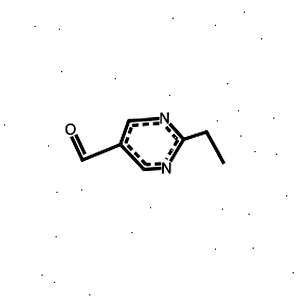 CCc1ncc(C=O)cn1